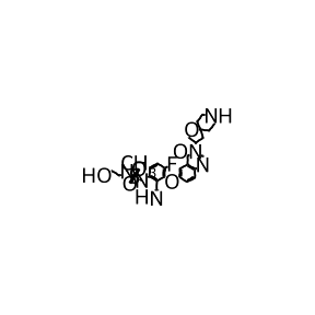 CN(CCO)S(=O)(=O)Nc1ccc(F)c(Oc2ccc3ncn([C@H]4COC5(CCNCC5)C4)c(=O)c3c2)c1C#N